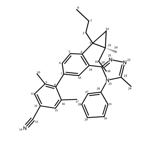 CCCC1(c2ccc(-c3c(C)cc(C#N)cc3C)cc2-c2nnc(C)n2-c2ccccc2)C[C@@]1(C)CC